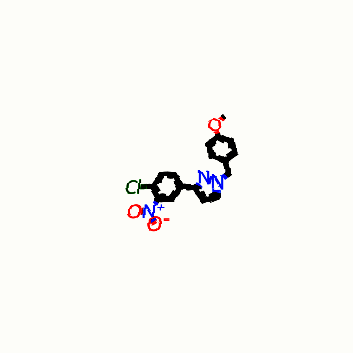 COc1ccc(Cn2ccc(-c3ccc(Cl)c([N+](=O)[O-])c3)n2)cc1